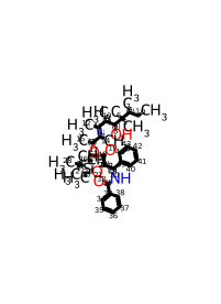 CC[C@H](C)C(C)(C)[C@@H](O)[C@@H](C)/C(C)=C(\C)[C@H](C)OC(=O)[C@H](O[Si](C)(C)C(C)(C)C)[C@@H](NC(=O)c1ccccc1)c1ccccc1